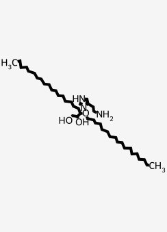 CCCCCCCCCCCCCCCCCCOC(CCCCCCCCCCCCCCCCCC)C(O)CO.NCCc1c[nH]cn1